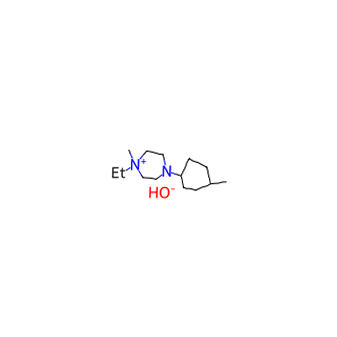 CC[N+]1(C)CCN(C2CCC(C)CC2)CC1.[OH-]